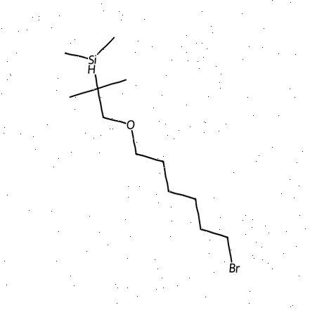 C[SiH](C)C(C)(C)COCCCCCCBr